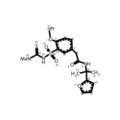 CCCOc1ccc(CC(=O)NC(C)(C)c2ccco2)cc1S(=O)(=O)NC(=S)NC